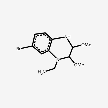 COC1Nc2ccc(Br)cc2N(CN)C1OC